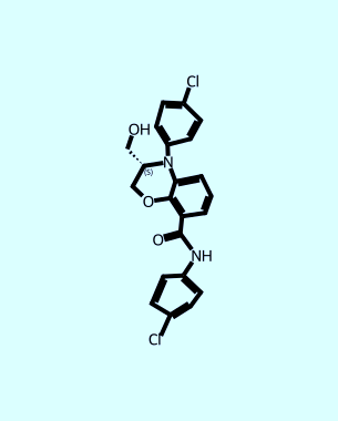 O=C(Nc1ccc(Cl)cc1)c1cccc2c1OC[C@H](CO)N2c1ccc(Cl)cc1